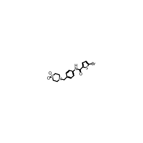 O=C(Nc1ccc(CN2CCS(=O)(=O)CC2)cc1)c1ccc(Br)s1